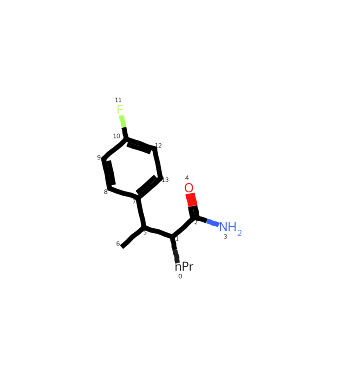 CCCC(C(N)=O)C(C)c1ccc(F)cc1